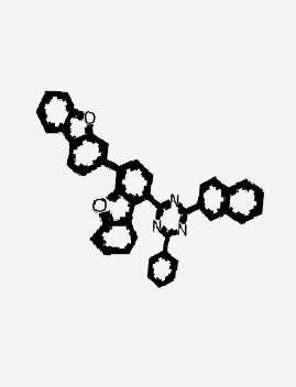 c1ccc(-c2nc(-c3ccc4ccccc4c3)nc(-c3ccc(-c4ccc5c(c4)oc4ccccc45)c4oc5ccccc5c34)n2)cc1